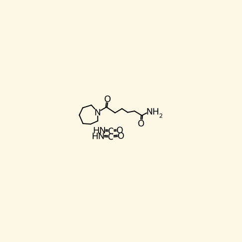 N=C=O.N=C=O.NC(=O)CCCCC(=O)N1CCCCCC1